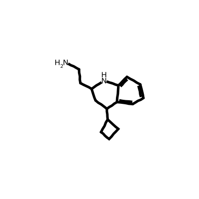 NCCC1CC(C2CCC2)c2ccccc2N1